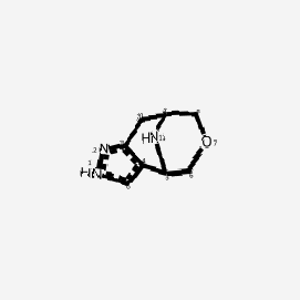 c1[nH]nc2c1C1COCC(C2)N1